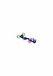 O=C(/C=C/c1cccnc1)NCCC1C2CN(Cc3cc(Cl)cc(Cl)c3)CC12